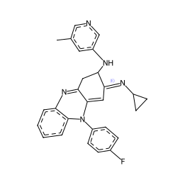 Cc1cncc(NC2CC3=Nc4ccccc4N(c4ccc(F)cc4)C3=C/C2=N\C2CC2)c1